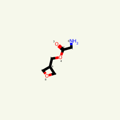 NCC(=O)OCC1COC1